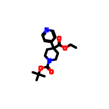 CCOC(=O)C1(c2ccncc2)CCN(C(=O)OC(C)(C)C)CC1